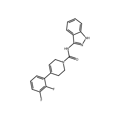 O=C(Nc1n[nH]c2ccccc12)N1CC=C(c2cccc(F)c2F)CC1